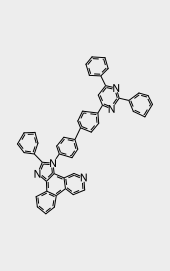 c1ccc(-c2cc(-c3ccc(-c4ccc(-n5c(-c6ccccc6)nc6c7ccccc7c7ccncc7c65)cc4)cc3)nc(-c3ccccc3)n2)cc1